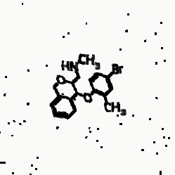 CNCC1OCc2ccccc2C1Oc1ccc(Br)cc1C